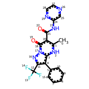 Cc1[nH]c2c(-c3ccccc3)c(C(F)(F)F)nn2c(=O)c1C(=O)Nc1cnccn1